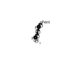 CCCCCC1COc2cc(C3COC(C4COc5c(cc(F)c(OC(F)(F)F)c5F)C4)OC3)c(F)cc2C1